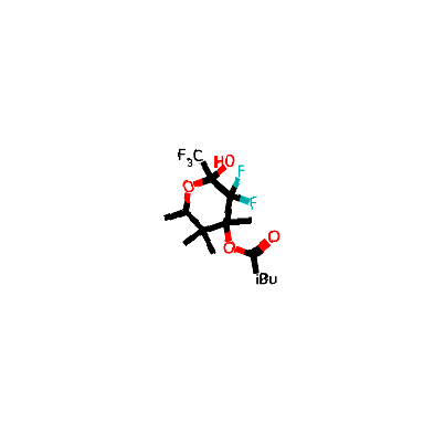 CCC(C)C(=O)OC1(C)C(C)(C)C(C)OC(O)(C(F)(F)F)C1(F)F